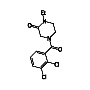 CCN1CCN(C(=O)c2cccc(Cl)c2Cl)CC1=O